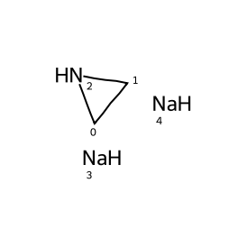 C1CN1.[NaH].[NaH]